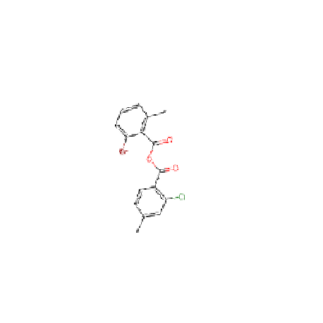 Cc1ccc(C(=O)OC(=O)c2c(C)cccc2Br)c(Cl)c1